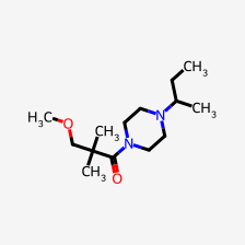 CCC(C)N1CCN(C(=O)C(C)(C)COC)CC1